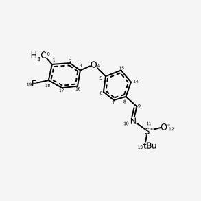 Cc1cc(Oc2ccc(C=N[S+]([O-])C(C)(C)C)cc2)ccc1F